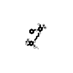 COc1cc(C=O)c([N+](=O)[O-])cc1OCCCCCOc1cc([N+](=O)[O-])c(C=O)cc1OCc1ccccc1